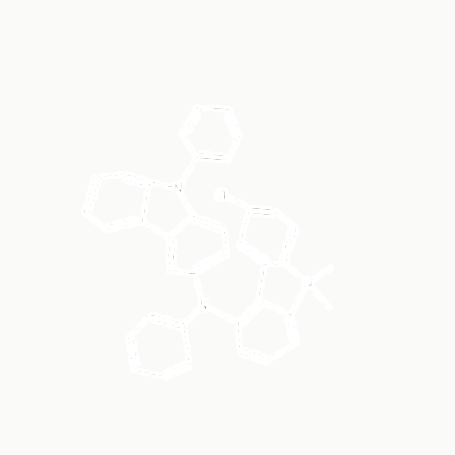 C[Si]1(C)c2ccc(Cl)cc2-c2c(N(c3ccccc3)c3ccc4c(c3)c3ccccc3n4-c3ccccc3)cccc21